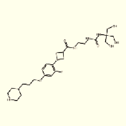 O=C(NCCNC(=O)C1CN(c2ccc(OCCCC3CCNCC3)cc2F)C1)NC(CO)(CO)CO